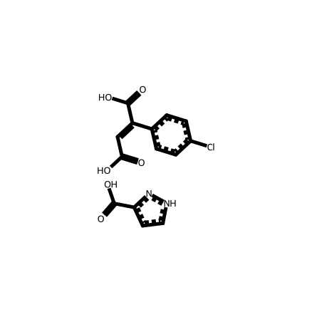 O=C(O)/C=C(/C(=O)O)c1ccc(Cl)cc1.O=C(O)c1cc[nH]n1